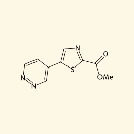 COC(=O)c1ncc(-c2ccnnc2)s1